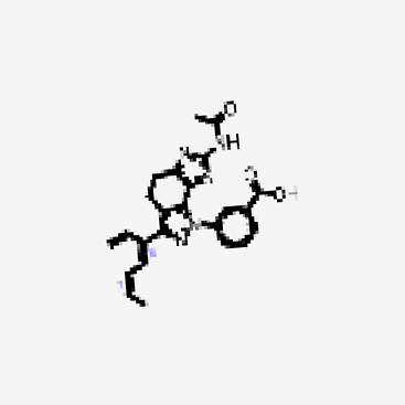 C=C/C(=C\C=C/C)c1nn(-c2cccc(C(=O)O)c2)c2c1CCc1nc(NC(C)=O)sc1-2